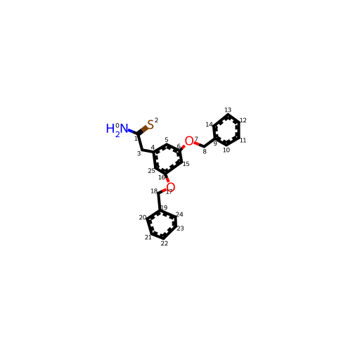 NC(=S)Cc1cc(OCc2ccccc2)cc(OCc2ccccc2)c1